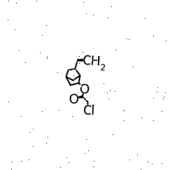 C=CC1CC2CC(OC(=O)CCl)C1C2